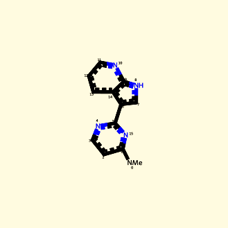 CNc1ccnc(-c2c[nH]c3ncccc23)n1